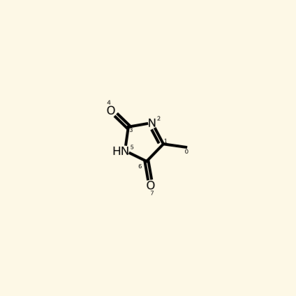 CC1=NC(=O)NC1=O